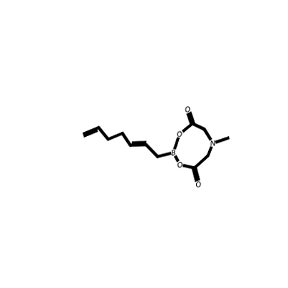 C=CCCC=CCB1OC(=O)CN(C)CC(=O)O1